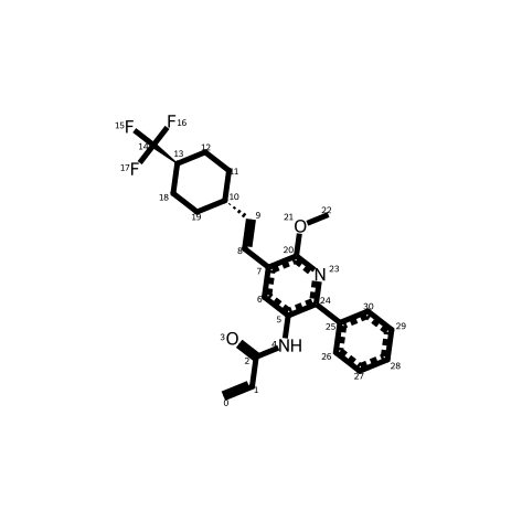 C=CC(=O)Nc1cc(/C=C/[C@H]2CC[C@H](C(F)(F)F)CC2)c(OC)nc1-c1ccccc1